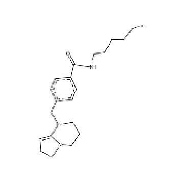 CCCCCCNC(=O)c1ccc(CN2CCCN3CCC=C32)cc1